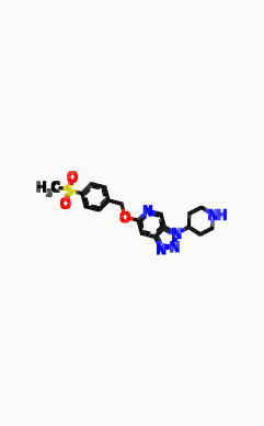 CS(=O)(=O)c1ccc(COc2cc3nnn(C4CCNCC4)c3cn2)cc1